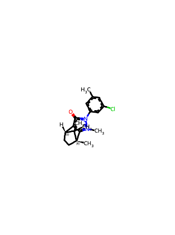 Cc1cc(Cl)cc(-n2c(=O)c3c(n2C)[C@]2(C)CC[C@H]3C2(C)C)c1